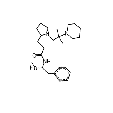 CBC(Cc1ccccc1)NC(=O)CCC1CCCN1CC(C)(C)N1CCCCC1